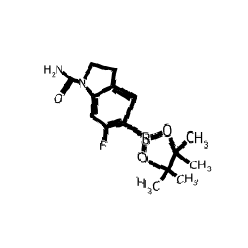 CC1(C)OB(c2cc3c(cc2F)N(C(N)=O)CC3)OC1(C)C